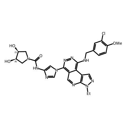 CCn1ncc2c3c(NCc4ccc(OC)c(Cl)c4)nnc(-n4cnc(NC(=O)N5C[C@@H](O)[C@@H](O)C5)c4)c3cnc21